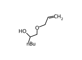 C=CCOCC(O)CCCC